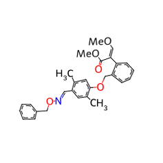 COC=C(C(=O)OC)c1ccccc1COc1cc(C)c(C=NOCc2ccccc2)cc1C